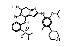 Cc1cc(NC2=CC3=C(Nc4ccccc4S(=O)(=O)C(C)C)N(Br)C(N)CC3=N2)c(OC(C)C)cc1C1CCNCC1